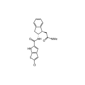 CNC(=O)C[C@@H]1c2ccccc2C[C@H]1NC(=O)c1cc2cc(Cl)sc2[nH]1